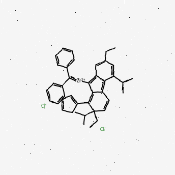 CCc1cc(C(C)C)c2c(c1)=[C]([Zr+2]=[C](c1ccccc1)c1ccccc1)C1=C(C3=CC=CC3)C(CC)(C(C)C)C=CC=21.[Cl-].[Cl-]